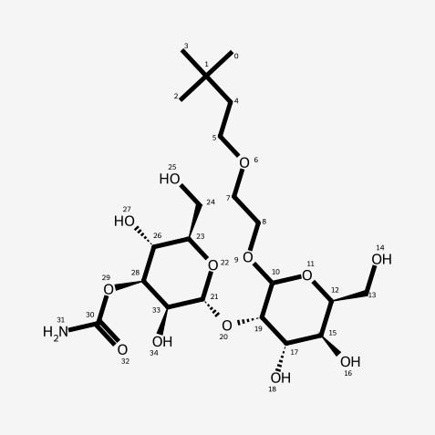 CC(C)(C)CCOCCOC1O[C@@H](CO)[C@@H](O)[C@H](O)[C@@H]1O[C@H]1O[C@H](CO)[C@@H](O)[C@H](OC(N)=O)[C@@H]1O